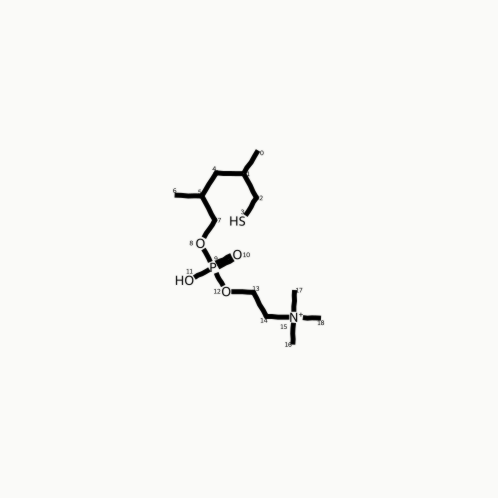 CC(CS)CC(C)COP(=O)(O)OCC[N+](C)(C)C